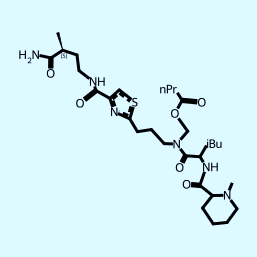 CCCC(=O)OCN(CCCc1nc(C(=O)NCC[C@H](C)C(N)=O)cs1)C(=O)C(NC(=O)C1CCCCN1C)C(C)CC